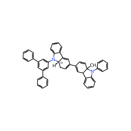 CC12C=CC(C3=CC[C@H]4C(=C3)c3ccccc3N4c3cc(-c4ccccc4)cc(-c4ccccc4)c3)=CC1c1ccccc1N2c1ccccc1